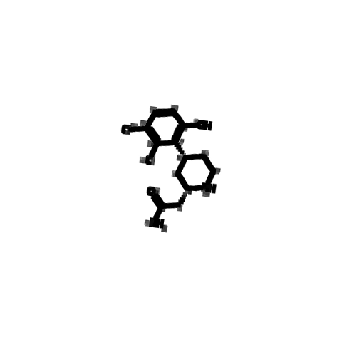 NC(=O)C[C@@H]1C[C@H](c2c(O)ccc(Cl)c2Cl)CCN1